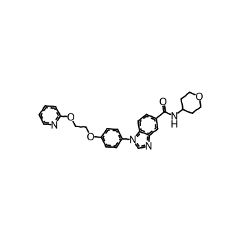 O=C(NC1CCOCC1)c1ccc2c(c1)ncn2-c1ccc(OCCOc2ccccn2)cc1